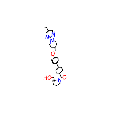 C=C(/C=N\C(=N/C)N1CCC(COc2ccc(C3=CCC(C(=O)N4CCC[C@@H]4CO)CC3)cc2)CC1)CC